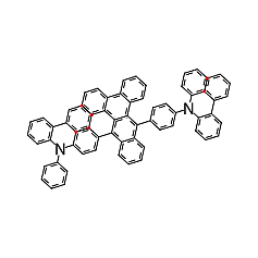 c1ccc(-c2ccccc2N(c2ccccc2)c2ccc(-c3c4ccccc4c(-c4ccc(N(c5ccccc5)c5ccccc5-c5ccccc5)cc4)c4c5ccccc5c5ccccc5c34)cc2)cc1